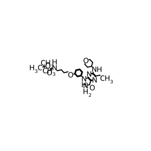 CCc1nc(C(N)=O)c(Nc2cccc(OCCCCNC(=O)OC(C)(C)C)c2)nc1NC1CCOCC1